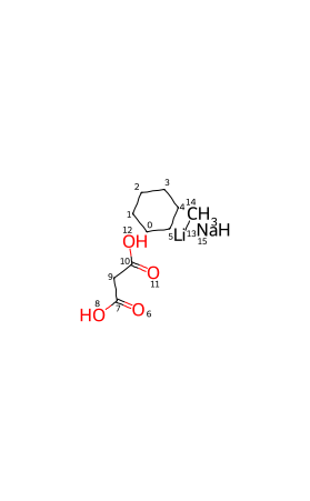 C1CCCCC1.O=C(O)CC(=O)O.[Li][CH3].[NaH]